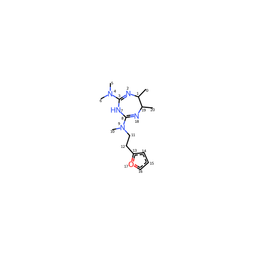 CC1N=C(N(C)C)NC(N(C)CCc2ccco2)=NC1C